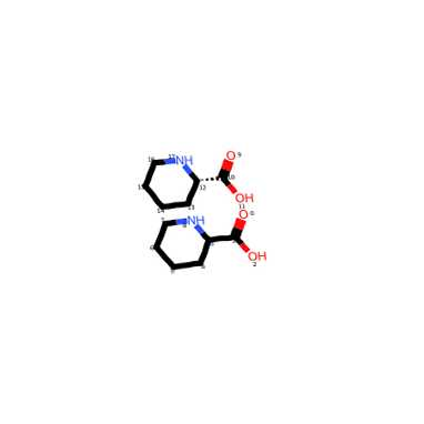 O=C(O)C1CCCCN1.O=C(O)[C@@H]1CCCCN1